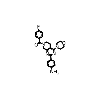 Nc1ccc(-c2nc3c(c(N4CCOCC4)n2)CCN(C(=O)c2ccc(F)cc2)C3)cc1